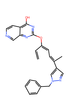 C=C/C(=C\C=C(/C)c1cnn(Cc2ccccc2)c1)Oc1nc(O)c2ccncc2n1